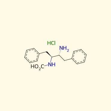 Cl.N[C@H](Cc1ccccc1)[C@H](Cc1ccccc1)NC(=O)O